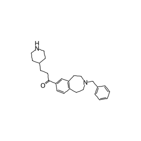 O=C(CCC1CCNCC1)c1ccc2c(c1)CCN(Cc1ccccc1)CC2